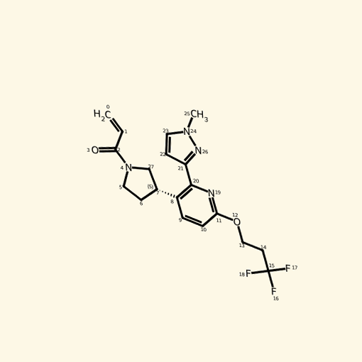 C=CC(=O)N1CC[C@@H](c2ccc(OCCC(F)(F)F)nc2-c2ccn(C)n2)C1